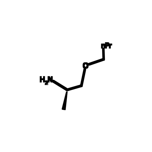 CCCCOC[C@H](C)N